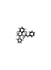 CN(C(=O)Cc1ccccc1)[C@H]1c2ccccc2OC[C@@H]1N1CCCC1